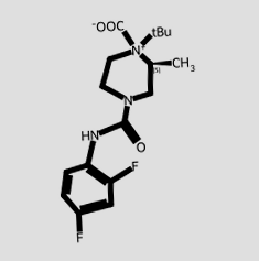 C[C@H]1CN(C(=O)Nc2ccc(F)cc2F)CC[N+]1(C(=O)[O-])C(C)(C)C